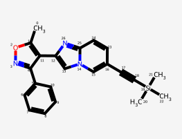 Cc1onc(-c2ccccc2)c1-c1cn2cc(C#C[Si](C)(C)C)ccc2n1